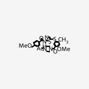 COCc1ccc(C(=O)Nc2ncc(Sc3cc(C(=O)N4CCN(C(C)=O)CC4)c(OC)cc3C)s2)cc1